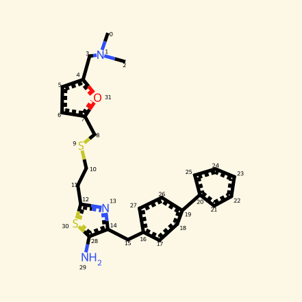 CN(C)Cc1ccc(CSCCc2nc(Cc3ccc(-c4ccccc4)cc3)c(N)s2)o1